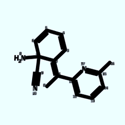 CC(=C1C=CC=CC1(N)C#N)c1cccc(C)n1